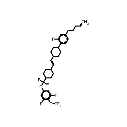 C=CCCCc1ccc(C2CCC(/C=C/C3CCC(C(F)(F)Oc4cc(F)c(OC(F)(F)F)c(F)c4)CC3)CC2)c(F)c1